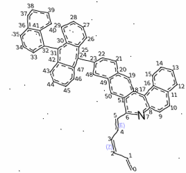 C=C/C=C\C=C\c1nc2ccc3ccccc3c2c2cc3ccc(-c4c5ccccc5c(-c5cccc6ccccc56)c5ccccc45)cc3cc12